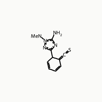 CNn1nc(C2C=CC=CC2=C=S)nc1N